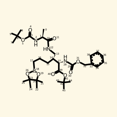 C[C@H](NC(=O)OC(C)(C)C)C(=O)NC[C@@H](CCCB1OC(C)(C)C(C)(C)O1)[C@H](NC(=O)OCc1ccccc1)C(=O)OC(C)(C)C